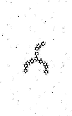 c1ccc(-c2ccc3ccc(-c4ccc(-c5cc(-c6ccc(-c7ccc8ccc(-c9ccccc9)nc8n7)cc6)cc(-c6ccc(-c7ccc8ccc(-c9ccccc9)nc8n7)cc6)c5)cc4)nc3n2)cc1